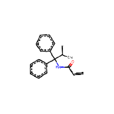 [CH2]C(C#N)C(NC(=O)C=C)(c1ccccc1)c1ccccc1